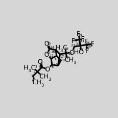 CCC(C)(C)C(=O)OC1C2CC3C1OC(=O)C3C2C(C)(C)OCC(O)(C(F)(F)F)C(F)(F)F